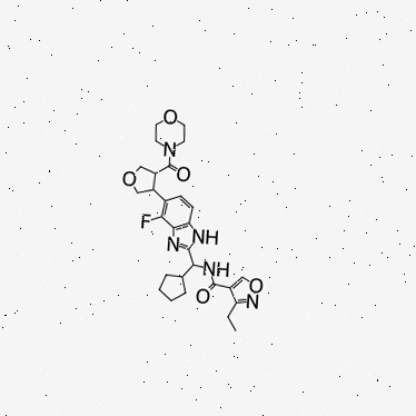 CCc1nocc1C(=O)NC(c1nc2c(F)c(C3COCC3C(=O)N3CCOCC3)ccc2[nH]1)C1CCCC1